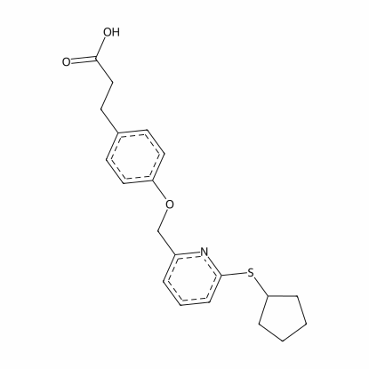 O=C(O)CCc1ccc(OCc2cccc(SC3CCCC3)n2)cc1